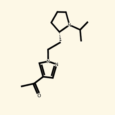 CC(=O)c1cnn(CC[C@@H]2CCCN2C(C)C)c1